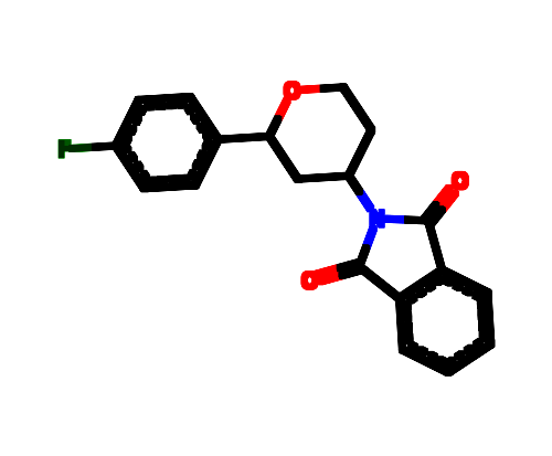 O=C1c2ccccc2C(=O)N1C1CCOC(c2ccc(F)cc2)C1